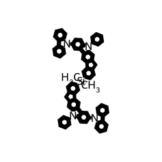 C[Si](C)(c1ccc2c(c1)-c1cc3c4cc(-n5c6ccccc6c6ccccc65)ccc4n(-c4ccccc4)c3cc1C2)c1ccc2c(c1)-c1cc3c4cc(-n5c6ccccc6c6ccccc65)ccc4n(-c4ccccc4)c3cc1C2